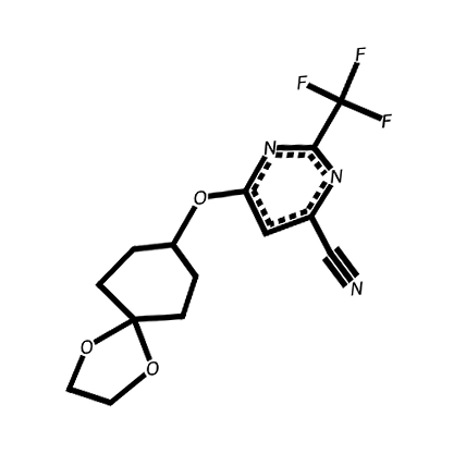 N#Cc1cc(OC2CCC3(CC2)OCCO3)nc(C(F)(F)F)n1